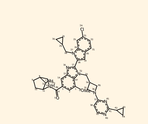 COc1cc(C(=O)N2CC3CCC2[C@@H]3N)cc2nc(-c3cc4ccc(Cl)cc4n3CC3CC3)n(CC3CN(c4ccnc(C5CC5)n4)C3)c12